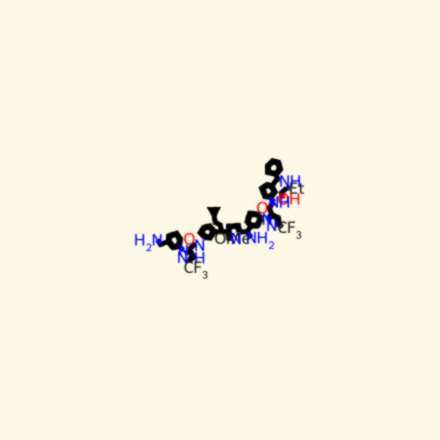 CCC(CO)NC(c1ccccc1)c1cccc(NC(=O)c2cc(C(F)(F)F)nn2-c2cccc(C(N)c3ccc(C(CCC4CC4)(OC)c4cccc(NC(=O)c5cc(C(F)(F)F)nn5-c5cccc(CN)c5)c4)cn3)c2)c1